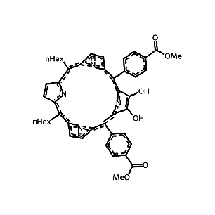 CCCCCCc1c2nc(c(CCCCCC)c3ccc([nH]3)c(-c3ccc(C(=O)OC)cc3)c3nc(c(-c4ccc(C(=O)OC)cc4)c4ccc1[nH]4)C(O)=C3O)C=C2